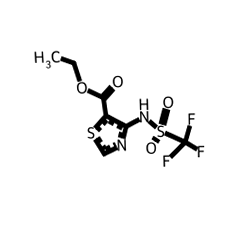 CCOC(=O)c1scnc1NS(=O)(=O)C(F)(F)F